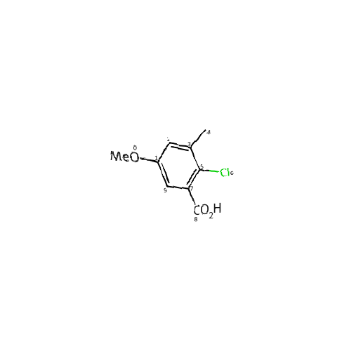 COc1cc(C)c(Cl)c(C(=O)O)c1